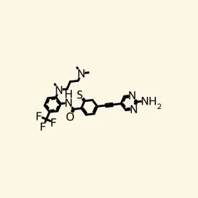 CN(C)CCCN(C)c1ccc(C(F)(F)F)cc1NC(=O)C1=CC=C(C#Cc2cnc(N)nc2)CC1=S